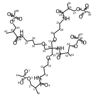 CC(COS(C)(=O)=O)C(=O)NCCCOCC(COCCCNC(=O)C(C)COS(C)(=O)=O)(COCCCNC(=O)C(C)COS(C)(=O)=O)NC(=O)C(C)COS(C)(=O)=O